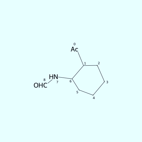 CC(=O)C1CCCCC1NC=O